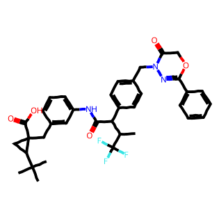 CC(C(C(=O)Nc1cccc(CC2(C(=O)O)CC2C(C)(C)C)c1)c1ccc(CN2N=C(c3ccccc3)OCC2=O)cc1)C(F)(F)F